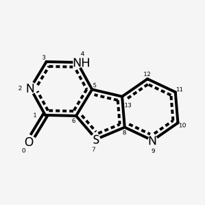 O=c1nc[nH]c2c1sc1ncccc12